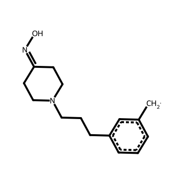 [CH2]c1cccc(CCCN2CCC(=NO)CC2)c1